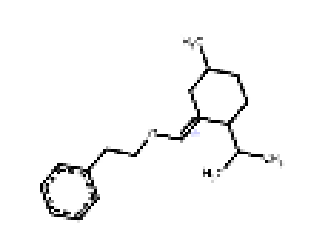 CC1CCC(C(C)C)/C(=C/OCCc2ccccc2)C1